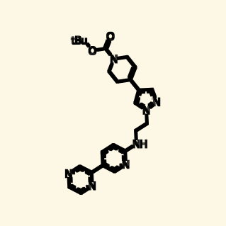 CC(C)(C)OC(=O)N1CC=C(c2cnn(CCNc3ccc(-c4cnccn4)cn3)c2)CC1